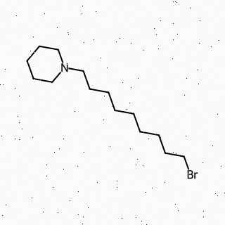 BrCCCCCCCCCN1CCCCC1